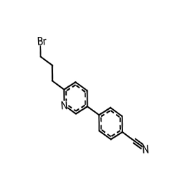 N#Cc1ccc(-c2ccc(CCCBr)nc2)cc1